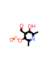 Cc1nc(C)c(OP=O)c(C=O)c1O